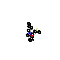 CC1(C)c2ccccc2-c2c(-c3ccccc3N(c3cccc(-c4ccc5sc6ccccc6c5c4)c3)c3cccc(-c4cccc5c4C(C)(C)c4ccccc4-5)c3)cccc21